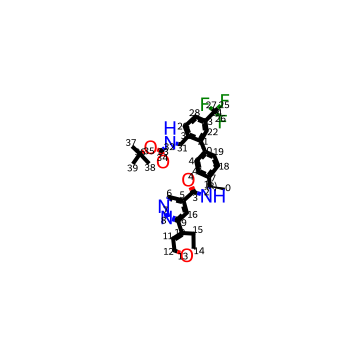 C[C@@H](NC(=O)c1cnnc(C2=CCOCC2)c1)c1ccc(-c2cc(C(F)(F)F)ccc2CNC(=O)OC(C)(C)C)cc1